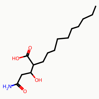 CCCCCCCCCCC(C(=O)O)C(O)CC(N)=O